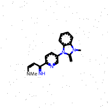 C=C1N(C)c2ccccc2N1c1ccc(C(=N)/C=C\NC)nc1